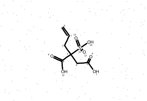 C=CCC(CC(=O)O)(C(=O)O)S(=O)(=O)O